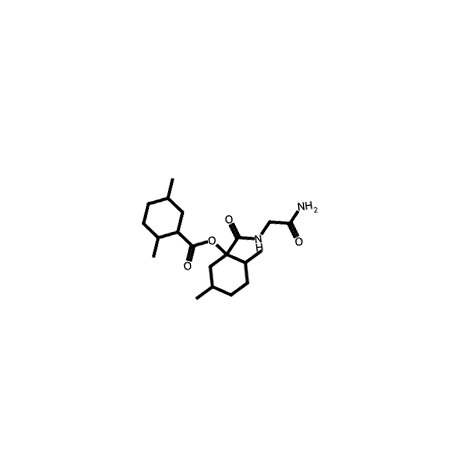 CC1CCC(C)C(C(=O)OC2(C(=O)NCC(N)=O)CC(C)CCC2C)C1